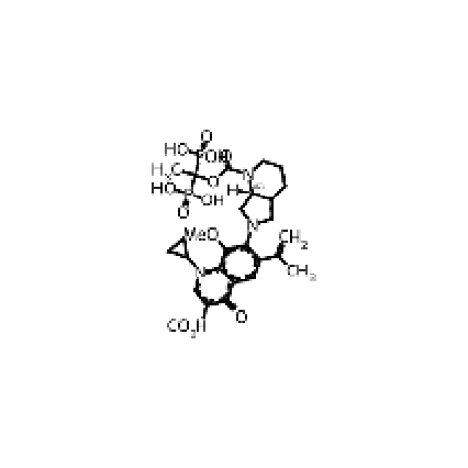 C=C(C)c1cc2c(=O)c(C(=O)O)cn(C3CC3)c2c(OC)c1N1CC2CCCN(C(=O)OC(C)(P(=O)(O)O)P(=O)(O)O)[C@H]2C1